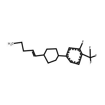 CCC/C=C/C1CCC(c2ccc(C(F)(F)F)c(F)c2)CC1